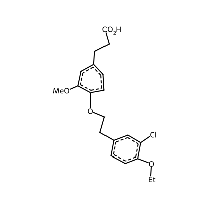 CCOc1ccc(CCOc2ccc(CCC(=O)O)cc2OC)cc1Cl